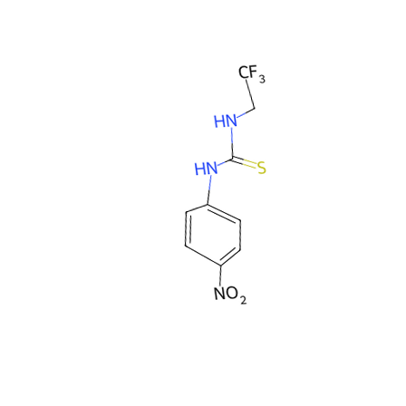 O=[N+]([O-])c1ccc(NC(=S)NCC(F)(F)F)cc1